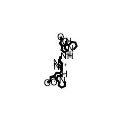 O=C1C=C2CC(/C=[N+]3/C=C(CN[C@H]4CC5=CC(=O)O[C@@]56C[C@@H]4N4CCCC[C@@H]46)N=N3)[C@@H]3C[C@@]2(O1)C1CCCCN13